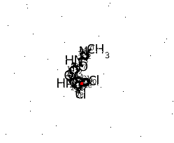 Cc1ccc(NC(=O)N2CCCC(C3(Cc4cccc(Cl)c4)C(=O)Nc4cc(Cl)ccc43)C2)cn1